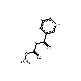 COC(=O)[CH]C(=O)c1cccnc1